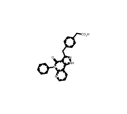 O=C(O)Cc1ccc(Cc2n[nH]c3c2c(=O)n(-c2ccccc2)c2ncccc32)cc1